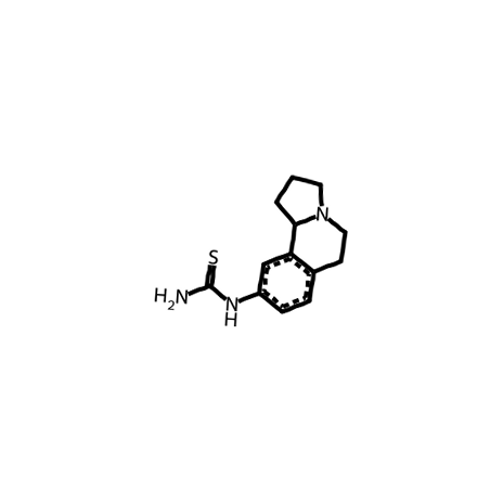 NC(=S)Nc1ccc2c(c1)C1CCCN1CC2